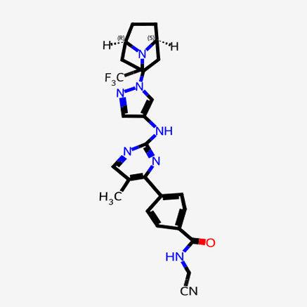 Cc1cnc(Nc2cnn(C3C[C@H]4CC[C@@H](C3)N4CC(F)(F)F)c2)nc1-c1ccc(C(=O)NCC#N)cc1